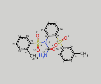 Cc1cccc(S(=O)(=O)c2ccccc2N(C(N)=O)S(=O)(=O)c2ccccc2C)c1